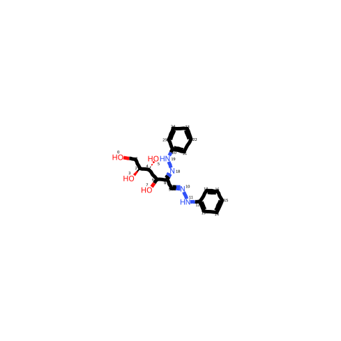 OC[C@H](O)[C@H](O)C(O)C(C=NNc1ccccc1)=NNc1ccccc1